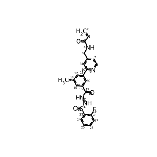 C=CC(=O)NCc1ccnc(-c2cc(C)cc(C(=O)NN[S+]([O-])c3ccccc3F)c2)c1